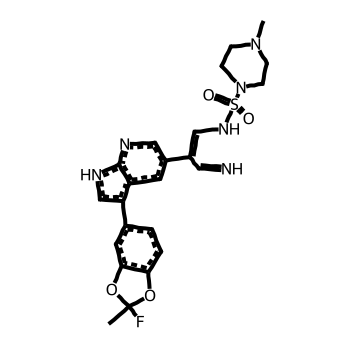 CN1CCN(S(=O)(=O)N/C=C(\C=N)c2cnc3[nH]cc(-c4ccc5c(c4)OC(C)(F)O5)c3c2)CC1